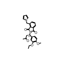 CCOc1cc([C@@H](CC(C)=O)N2C(=O)c3cccc(Cn4cccc4)c3C2=O)ccc1OC